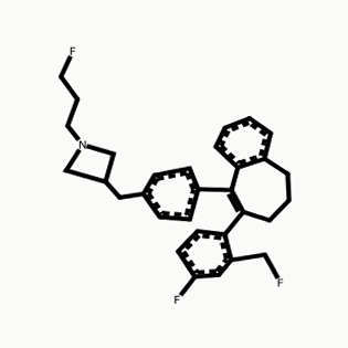 FCCCN1CC(Cc2ccc(C3=C(c4ccc(F)cc4CF)CCCc4ccccc43)cc2)C1